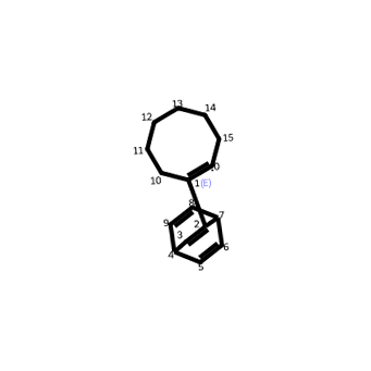 [C]1=C(/C2=CC3C=CC2C=C3)CCCCCC/1